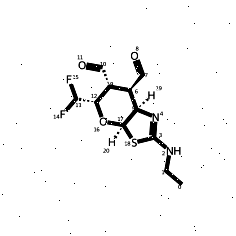 CCNC1=N[C@@H]2[C@H](C=O)[C@@H](C=O)[C@@H](C(F)F)O[C@@H]2S1